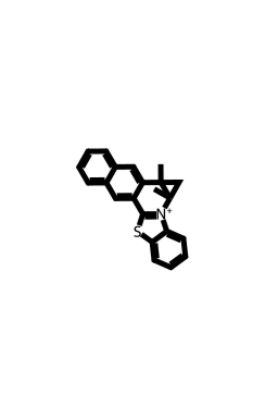 CC12CC1(C)[n+]1c(sc3ccccc31)-c1cc3ccccc3cc12